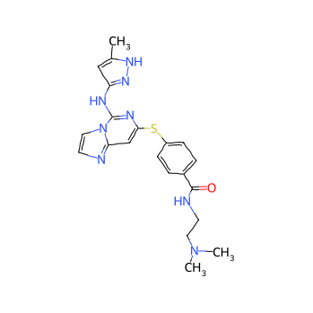 Cc1cc(Nc2nc(Sc3ccc(C(=O)NCCN(C)C)cc3)cc3nccn23)n[nH]1